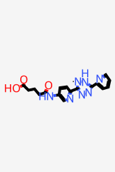 O=C(O)CCCC(=O)Nc1ccc(C2=NN=C(c3ccccn3)N[N]2)nc1